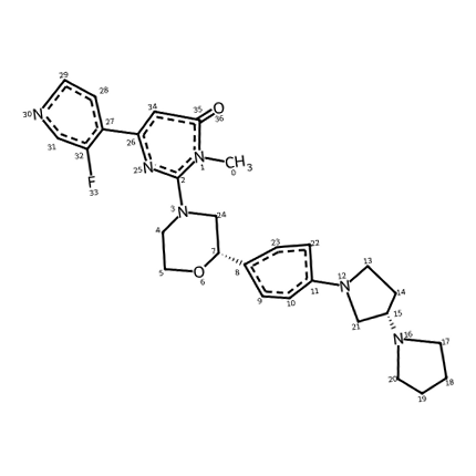 Cn1c(N2CCO[C@@H](c3ccc(N4CC[C@H](N5CCCC5)C4)cc3)C2)nc(-c2ccncc2F)cc1=O